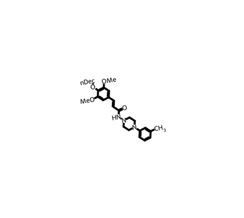 CCCCCCCCCCOc1c(OC)cc(C=CC(=O)NN2CCN(c3cccc(C)c3)CC2)cc1OC